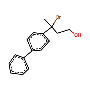 CC(Br)(CCO)c1ccc(-c2ccccc2)cc1